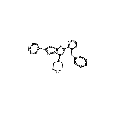 c1ccc(Cc2cccnc2-c2cc(N3CCOCC3)n3nc(-c4ccncc4)cc3n2)cc1